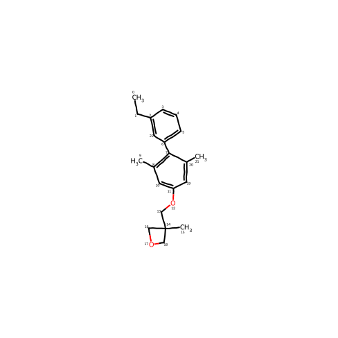 CCc1cccc(-c2c(C)cc(OCC3(C)COC3)cc2C)c1